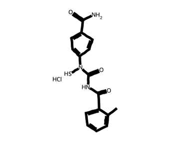 Cc1ccccc1C(=O)NC(=O)N(S)c1ccc(C(N)=O)cc1.Cl